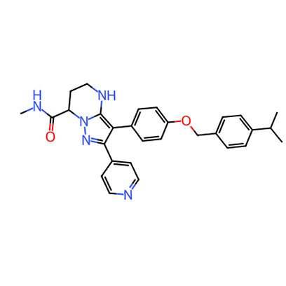 CNC(=O)C1CCNc2c(-c3ccc(OCc4ccc(C(C)C)cc4)cc3)c(-c3ccncc3)nn21